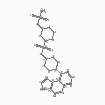 NS(=O)(=O)CC1CCCN(S(=O)(=O)CC2CCC(c3ncnc4cnc5[nH]ccc5c34)CC2)C1